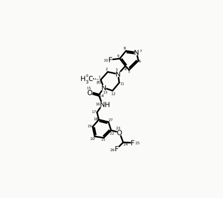 C[C@@H]1CN(c2ccncc2F)CCN1C(=O)NCc1cccc(OC(F)F)c1